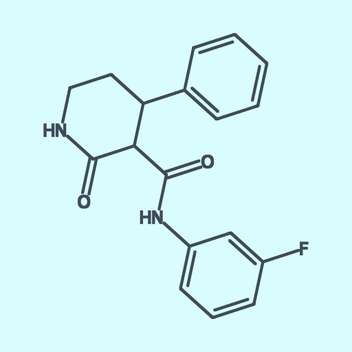 O=C1NCCC(c2ccccc2)C1C(=O)Nc1cccc(F)c1